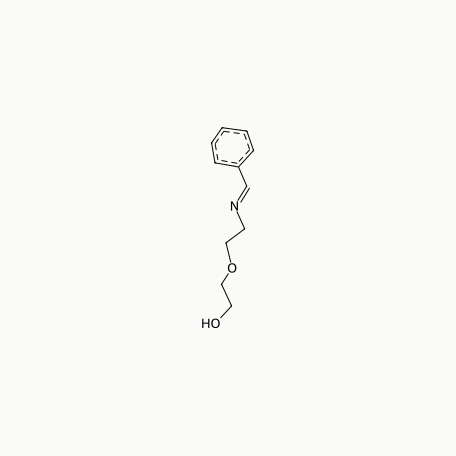 OCCOCC/N=C/c1ccccc1